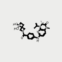 CC(C)N1c2nc(Nc3ccc(C(=O)N4CC5(CCS5(O)O)C4)cc3)ccc2N(C)C(=O)[C@H]1C